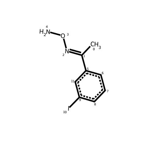 CC(=NON)c1cccc(I)c1